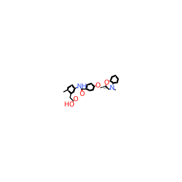 Cc1ccc(NC(=O)c2ccc(OC[C@@H]3CN(C)c4ccccc4O3)cc2)cc1CC(=O)O